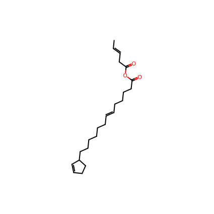 CC=CCC(=O)OC(=O)CCCCC=CCCCCCCC1C=CCC1